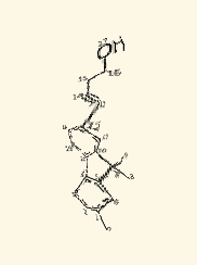 Cc1ccc2c(c1)C(C)(C)c1cc(C#CCCO)ccc1-2